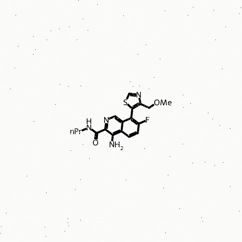 CCCNC(=O)c1ncc2c(-c3scnc3COC)c(F)ccc2c1N